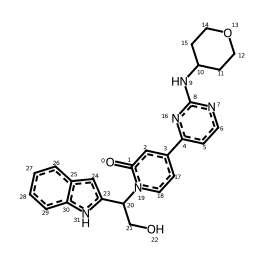 O=c1cc(-c2ccnc(NC3CCOCC3)n2)ccn1C(CO)c1cc2ccccc2[nH]1